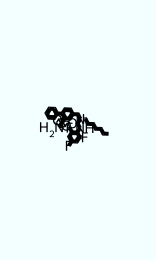 CCCCCCCN(Cc1ccc(-c2ccccc2)c(S(N)(=O)=O)c1)C(=O)Nc1c(F)cc(F)cc1F